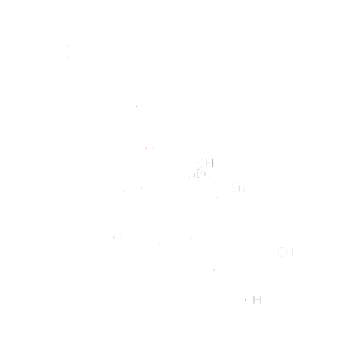 CCCCCCCC(=O)[O-].CCCCCCCC(=O)[O-].CCCCCCCC(=O)[O-].CCC[CH2][Sn+3]